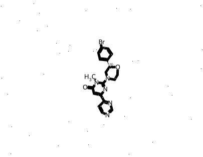 Cn1c(N2CCO[C@@H](c3ccc(Br)cc3)C2)nc(-c2ccncn2)cc1=O